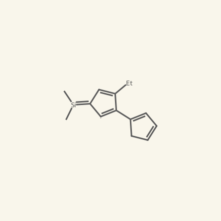 CCC1=CC(=[Si](C)C)[C]=C1C1=CC=CC1